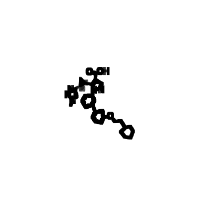 Cn1cc([C@@H]2C[C@H]2c2c(C(=O)O)cnn2-c2cccc(-c3cccc(OCCC4CCCCC4)c3)c2)nn1